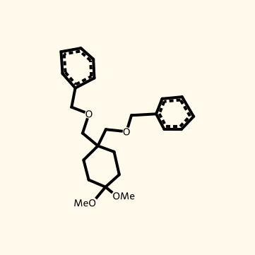 COC1(OC)CCC(COCc2ccccc2)(COCc2ccccc2)CC1